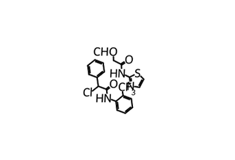 O=C(Nc1ccccc1C(F)(F)F)C(Cl)c1ccccc1.O=CCC(=O)Nc1nccs1